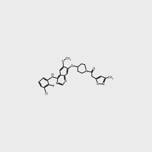 COc1cc2c(Nc3cccc(Cl)c3F)ncnc2cc1OC1CCN(C(=O)Cc2cc(C)no2)CC1